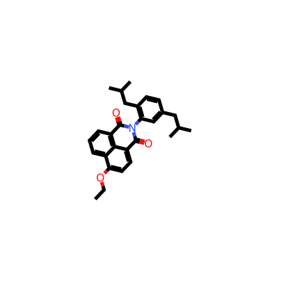 CCOc1ccc2c3c(cccc13)C(=O)N(c1cc(CC(C)C)ccc1CC(C)C)C2=O